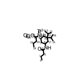 CCCC(=O)NC1CCCC(C(C)C)(C(C)C)C1.CCCC(=O)[NH][Ti+2].[Cl-].[Cl-]